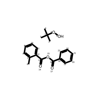 CC(C)(C)OO.Cc1ccccc1C(=O)OC(=O)c1ccccc1